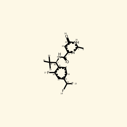 Cc1nc(C(=O)N[C@@H](c2ccc(C(F)F)cc2F)C(C)(C)C)cc(=O)[nH]1